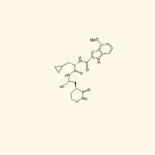 COc1cccc2[nH]c(C(=O)NC(CC3CC3)C(=O)NC(C#N)C[C@@H]3CCCNC3=O)cc12